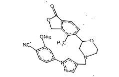 COc1cc(-n2cc(CN3CCOC(c4ccc5c(c4C)COC5=O)C3)cn2)ccc1C#N